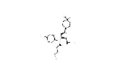 COC(=O)c1sc(C2CCC(C)(C)CC2)cc1N(C(=O)CCCC(C)C)C1CCC(O)CC1